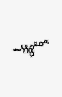 CCCCC[C@H](F)[C@H](F)C(=O)Nc1ccc(NCc2ccc(C(F)(F)F)cc2)cc1N1CCCCC1